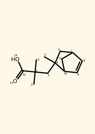 CC(C)(CC1(C)CC2C=CC1C2)C(=O)O